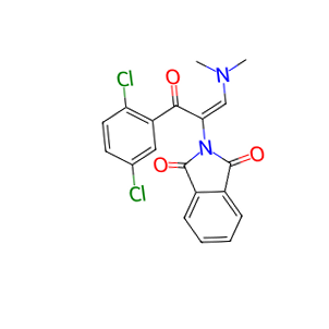 CN(C)C=C(C(=O)c1cc(Cl)ccc1Cl)N1C(=O)c2ccccc2C1=O